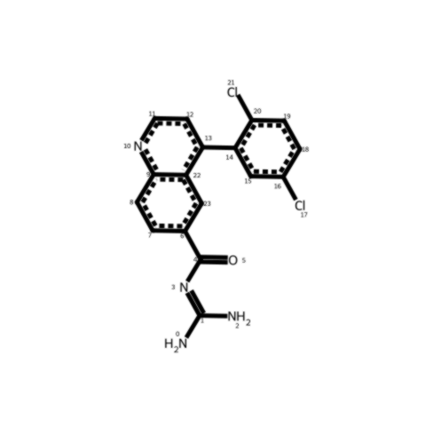 NC(N)=NC(=O)c1ccc2nccc(-c3cc(Cl)ccc3Cl)c2c1